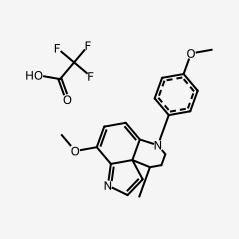 COC1=CC=C2N(c3ccc(OC)cc3)CCC(C)C23C=CN=C13.O=C(O)C(F)(F)F